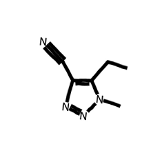 CCc1c(C#N)nnn1C